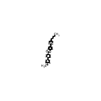 CCCCCc1cnc(-c2ccc(OC(=O)[C@H]3CC[C@H]([C@H]4CC[C@H](CC)CC4)CC3)cc2)nc1